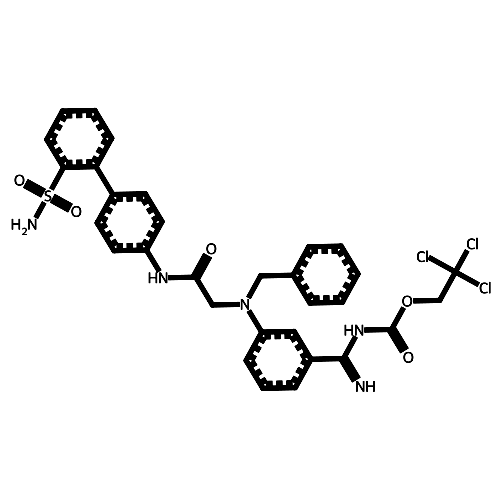 N=C(NC(=O)OCC(Cl)(Cl)Cl)c1cccc(N(CC(=O)Nc2ccc(-c3ccccc3S(N)(=O)=O)cc2)Cc2ccccc2)c1